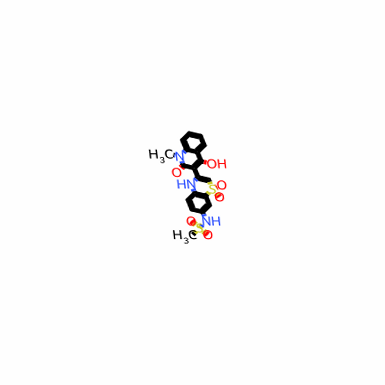 Cn1c(=O)c(C2=CS(=O)(=O)c3cc(NS(C)(=O)=O)ccc3N2)c(O)c2ccccc21